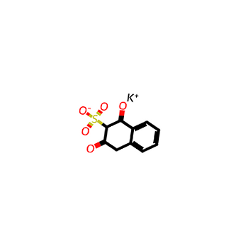 O=C1Cc2ccccc2C(=O)C1S(=O)(=O)[O-].[K+]